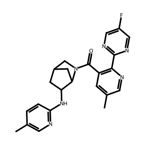 Cc1ccc(NC2CC3CC2N(C(=O)c2cc(C)cnc2-c2ncc(F)cn2)C3)nc1